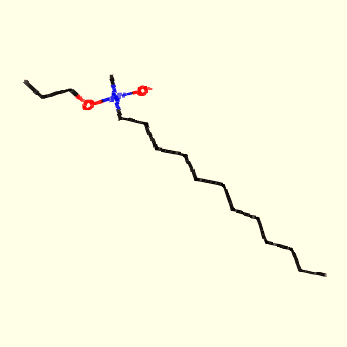 CCCCCCCCCCCC[N+](C)([O-])OCCC